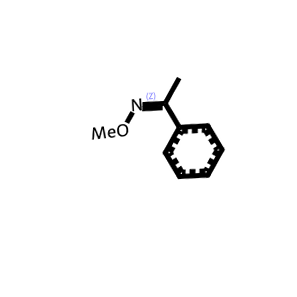 [CH2]O/N=C(/C)c1ccccc1